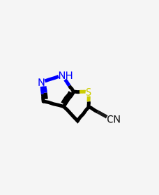 N#CC1Cc2cn[nH]c2S1